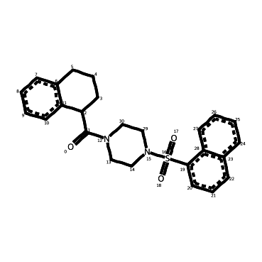 O=C(C1CCCc2ccccc21)N1CCN(S(=O)(=O)c2cccc3ccccc23)CC1